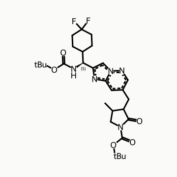 CC1CN(C(=O)OC(C)(C)C)C(=O)C1Cc1cnn2cc([C@@H](NC(=O)OC(C)(C)C)C3CCC(F)(F)CC3)nc2c1